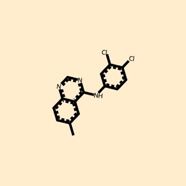 Cc1ccc2ncnc(Nc3ccc(Cl)c(Cl)c3)c2c1